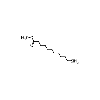 COC(=O)CCCCCCCCCC[SiH3]